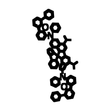 CC(C)c1cc2c(c3ccc(N(c4ccccc4)c4cccc5c4oc4c(-c6ccccc6)cccc45)cc13)C1(c3ccccc3-c3ccccc31)c1c-2cc(C(C)C)c2cc(N(c3ccccc3)c3cccc4c3oc3c(-c5ccccc5)cccc34)ccc12